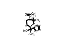 CC1(C)C[C@@H]([C@@](C)(O)c2nccs2)CC[C@@H]1C(=O)O